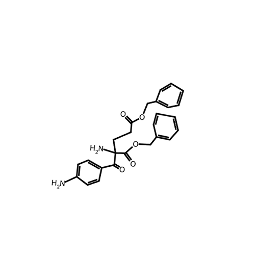 Nc1ccc(C(=O)C(N)(CCC(=O)OCc2ccccc2)C(=O)OCc2ccccc2)cc1